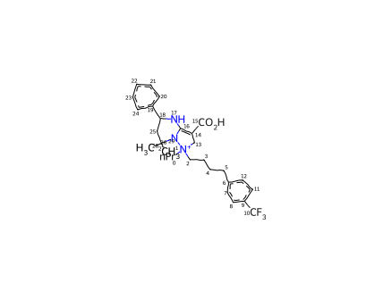 CCC[N+]1(CCCCc2ccc(C(F)(F)F)cc2)CC(C(=O)O)=C2NC(c3ccccc3)CC(C)(C)N21